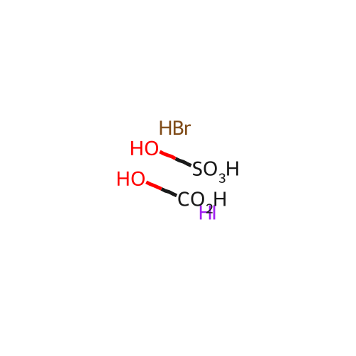 Br.I.O=C(O)O.O=S(=O)(O)O